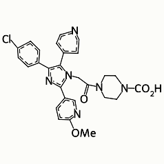 COc1ccc(-c2nc(-c3ccc(Cl)cc3)c(-c3ccncc3)n2CC(=O)N2CCN(C(=O)O)CC2)cn1